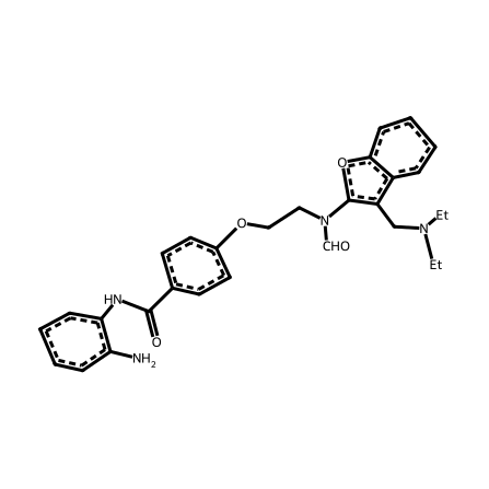 CCN(CC)Cc1c(N(C=O)CCOc2ccc(C(=O)Nc3ccccc3N)cc2)oc2ccccc12